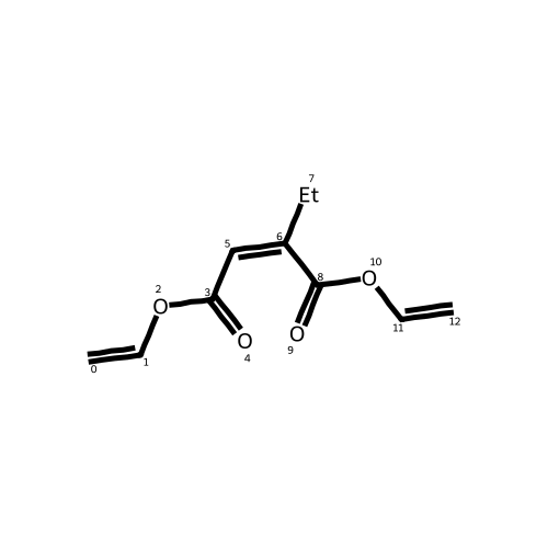 C=COC(=O)/C=C(/CC)C(=O)OC=C